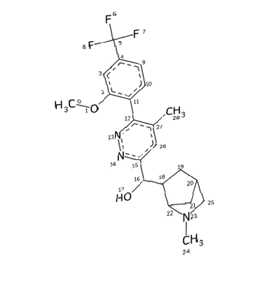 COc1cc(C(F)(F)F)ccc1-c1nnc(C(O)C2CC3CC2N(C)C3)cc1C